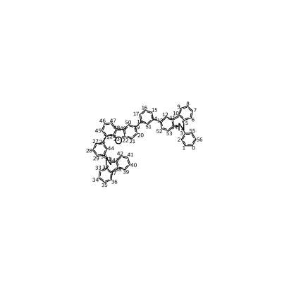 c1ccc(-n2c3ccccc3c3cc(-c4cccc(-c5ccc6oc7c(-c8cccc(-n9c%10ccccc%10c%10ccccc%109)c8)cccc7c6c5)c4)ccc32)cc1